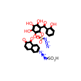 O=C1C=Cc2ccccc2C1=O.[N-]=[N+]=NS(=O)(=O)O.[N-]=[N+]=NS(=O)(=O)Oc1c(O)c(O)c(O)c(O)c1C(=O)c1ccccc1O